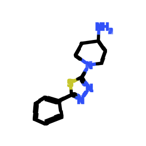 NC1CCN(c2nnc(-c3ccccc3)s2)CC1